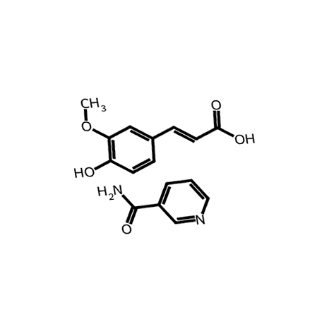 COc1cc(/C=C/C(=O)O)ccc1O.NC(=O)c1cccnc1